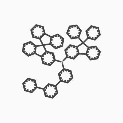 c1ccc(-c2cccc(-c3cccc(N(c4ccc5c(c4)-c4ccccc4C5(c4ccccc4)c4ccccc4)c4ccc5c(c4)C4(c6ccccc6-c6ccccc64)c4ccccc4-5)c3)c2)cc1